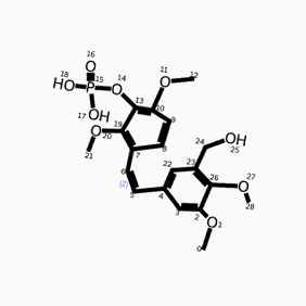 COc1cc(/C=C\c2ccc(OC)c(OP(=O)(O)O)c2OC)cc(CO)c1OC